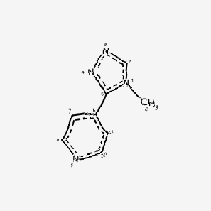 Cn1[c]nnc1-c1ccncc1